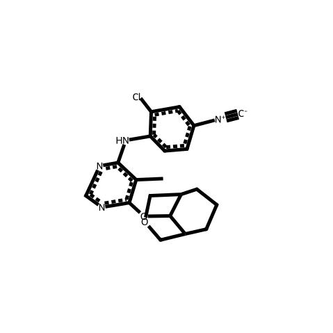 [C-]#[N+]c1ccc(Nc2ncnc(OC3C4CCCC3COC4)c2C)c(Cl)c1